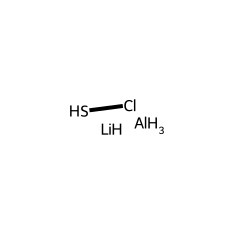 SCl.[AlH3].[LiH]